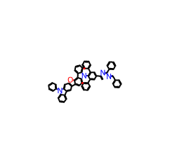 C=C(/N=C(\N=C\c1ccccc1)c1ccccc1)c1cc(-c2ccccc2)c(-n2c3ccccc3c3c4oc5cc6c(cc5c4ccc32)c2ccccc2n6-c2ccccc2)c(-c2ccccc2)c1